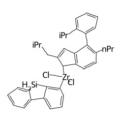 CCCc1ccc2c(c1-c1ccccc1C(C)C)C=C(CC(C)C)[CH]2[Zr]([Cl])([Cl])[c]1cccc2c1[SiH2]c1ccccc1-2